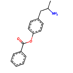 CC(N)Cc1ccc(OC(=O)c2ccccc2)cc1